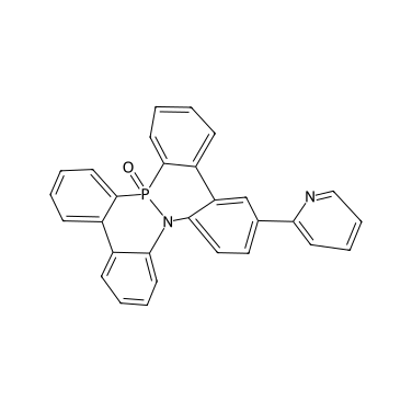 O=P12c3ccccc3-c3ccccc3N1c1ccc(-c3ccccn3)cc1-c1ccccc12